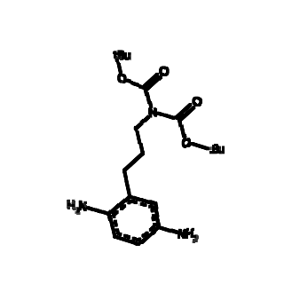 CC(C)(C)OC(=O)N(CCCc1cc(N)ccc1N)C(=O)OC(C)(C)C